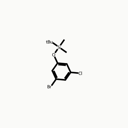 CC(C)(C)[Si](C)(C)Oc1cc(Cl)cc(Br)c1